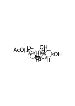 CC(=O)OCC(=O)[C@H]1CC[C@H]2[C@@H]3CC[C@H]4C[C@H](O)CC[C@]4(C)[C@H]3C(O)CC12C